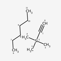 C#C[Si](C)(C)C.CCCCCC